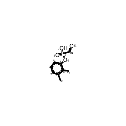 Cc1cccc(OP(=O)(O)C=O)c1C